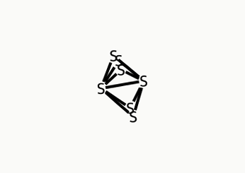 S1S2345SS12(S3)(S4)S5